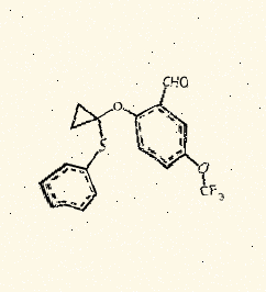 O=Cc1cc(OC(F)(F)F)ccc1OC1(Sc2ccccc2)CC1